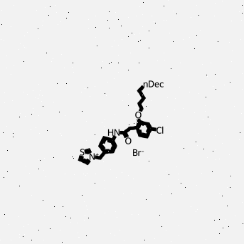 CCCCCCCCCCCCCCOc1cc(Cl)ccc1CC(=O)Nc1ccc(C[n+]2ccsc2)cc1.[Br-]